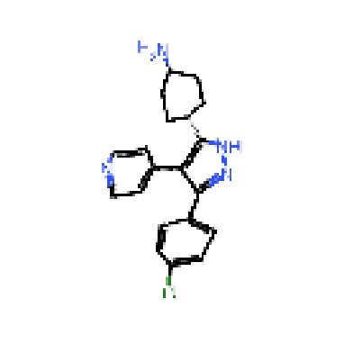 N[C@H]1CC[C@H](c2[nH]nc(-c3ccc(Cl)cc3)c2-c2ccncc2)CC1